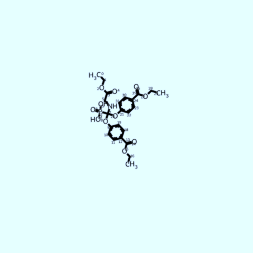 CCOC(=O)CNC(Oc1ccc(C(=O)OCC)cc1)(Oc1ccc(C(=O)OCC)cc1)P(=O)(O)O